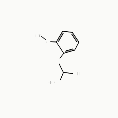 CC(C)Oc1ccccc1OC(C)C(=O)O